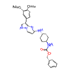 COc1ccc(-c2cnn3ccc(N[C@H]4CC[C@H](NC(=O)OCc5ccccc5)CC4)nc23)cc1OC